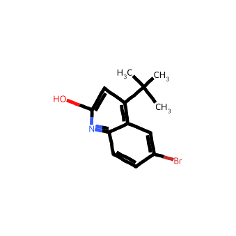 CC(C)(C)c1cc(O)nc2ccc(Br)cc12